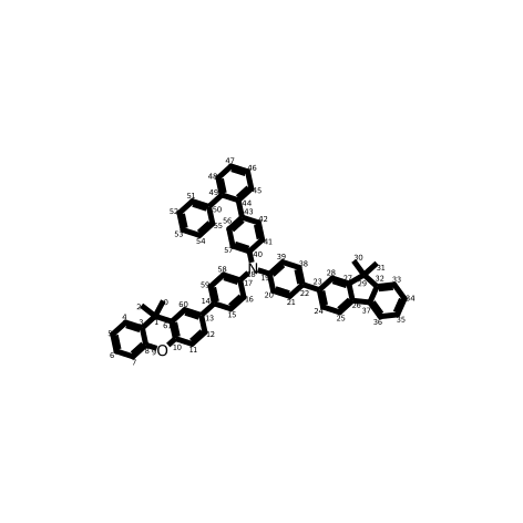 CC1(C)c2ccccc2Oc2ccc(-c3ccc(N(c4ccc(-c5ccc6c(c5)C(C)(C)c5ccccc5-6)cc4)c4ccc(-c5ccccc5-c5ccccc5)cc4)cc3)cc21